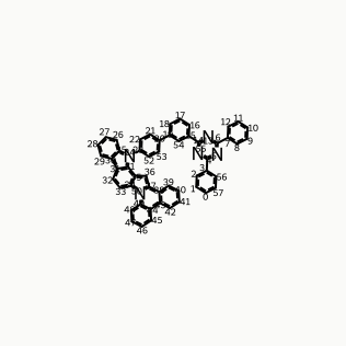 c1ccc(-c2nc(-c3ccccc3)nc(-c3cccc(-c4ccc(-n5c6ccccc6c6ccc7c(cc8c9ccccc9c9ccccc9n87)c65)cc4)c3)n2)cc1